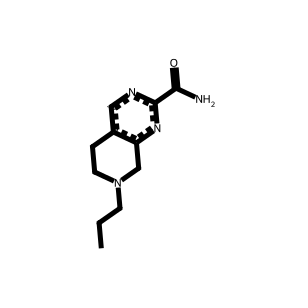 CCCN1CCc2[c]nc(C(N)=O)nc2C1